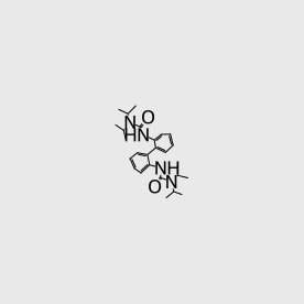 CC(C)N(C(=O)Nc1ccccc1-c1ccccc1NC(=O)N(C(C)C)C(C)C)C(C)C